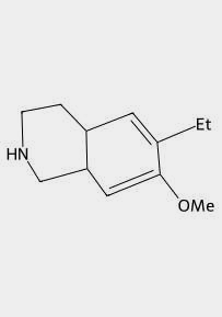 CCC1=CC2CCNCC2C=C1OC